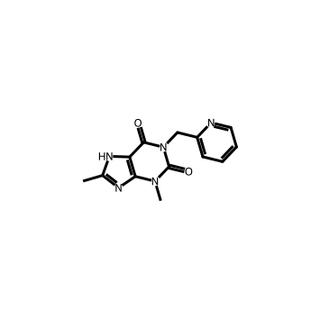 Cc1nc2c([nH]1)c(=O)n(Cc1ccccn1)c(=O)n2C